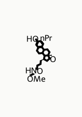 CCCc1cc2c(cc1O)CCC1C2CC[C@]2(C)C(=O)C[C@@H](CCCC(=O)NCCOC)C12